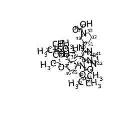 CCOc1ccc(N(C(=O)OC(C)(C)C)c2c(CCCO[Si](C)(C)C(C)(C)C)c(N[C@H]3CCCN(C(=O)O)C3)nc3ccnn23)cc1